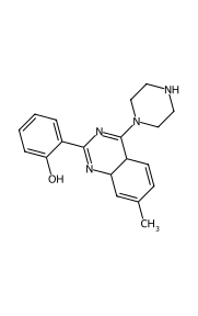 CC1=CC2N=C(c3ccccc3O)N=C(N3CCNCC3)C2C=C1